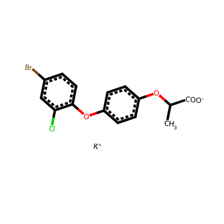 CC(Oc1ccc(Oc2ccc(Br)cc2Cl)cc1)C(=O)[O-].[K+]